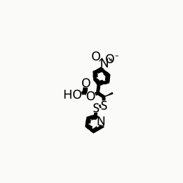 C[C@@H](SSc1ccccn1)C(OC(=O)O)c1ccc([N+](=O)[O-])cc1